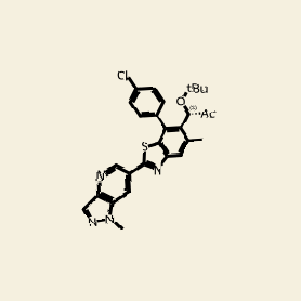 CC(=O)[C@@H](OC(C)(C)C)c1c(C)cc2nc(-c3cnc4cnn(C)c4c3)sc2c1-c1ccc(Cl)cc1